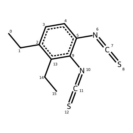 CCc1ccc(N=C=S)c(N=C=S)c1CC